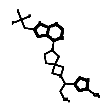 CCC(c1cnn(C)c1)N1CC2(CCN(c3ncnc4sc(CC(F)(F)F)cc34)C2)C1